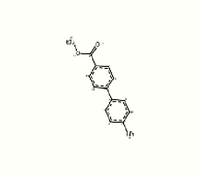 CCCc1ccc(-c2ccc(C(=O)OC(C)(C)C)cc2)cc1